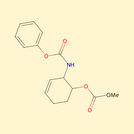 COC(=O)OC1CCC=CC1NC(=O)Oc1ccccc1